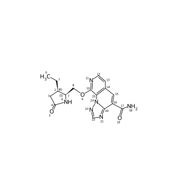 CC[C@@H]1CC(=O)N[C@@H]1COc1nccc2cc(C(N)=O)c3ncnn3c12